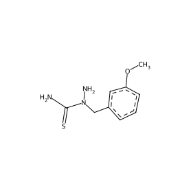 COc1cccc(CN(N)C(N)=S)c1